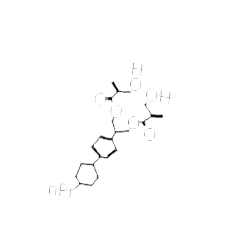 C=C(CO)C(=O)OCC(COC(=O)C(=C)CO)c1ccc(C2CCC(CCC)CC2)cc1